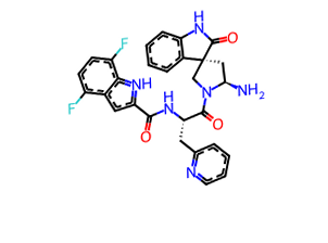 N[C@@H]1C[C@@]2(CN1C(=O)[C@H](Cc1ccccn1)NC(=O)c1cc3c(F)ccc(F)c3[nH]1)C(=O)Nc1ccccc12